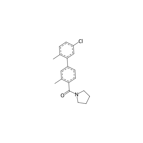 Cc1cc(-c2cc(Cl)ccc2C)ccc1C(=O)N1CCCC1